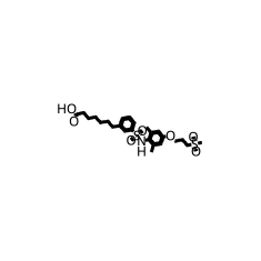 Cc1cc(OCCCS(C)(=O)=O)cc(C)c1NS(=O)(=O)c1cccc(CCCCCCC(=O)O)c1